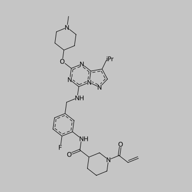 C=CC(=O)N1CCCC(C(=O)Nc2cc(CNc3nc(OC4CCN(C)CC4)nc4c(C(C)C)cnn34)ccc2F)C1